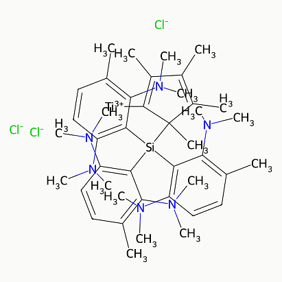 CC1=C(C)C(C)([Si](c2c(N(C)C)ccc(C)c2N(C)C)(c2c(N(C)C)ccc(C)c2N(C)C)c2c(N(C)C)ccc(C)c2N(C)C)[C]([Ti+3])=C1C.[Cl-].[Cl-].[Cl-]